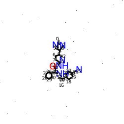 Cc1ncc(-c2ccc(NC(=O)[C@@H](NC[C@@H](C)c3ccc(C#N)cc3)c3ccccc3)nc2)cn1